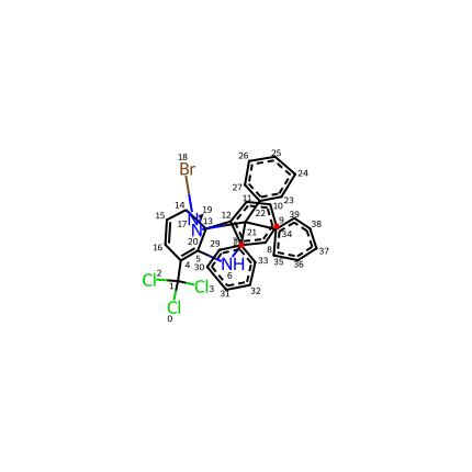 ClC(Cl)(Cl)C1=C2Nc3ccccc3C23C(C=C1)N(Br)CN3C(c1ccccc1)(c1ccccc1)c1ccccc1